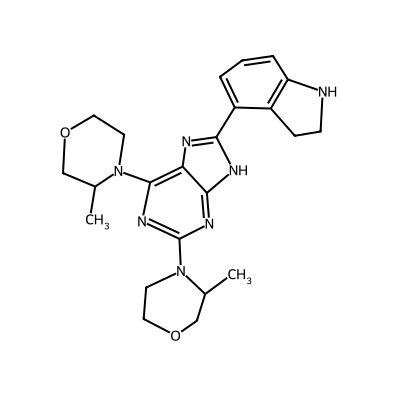 CC1COCCN1c1nc(N2CCOCC2C)c2nc(-c3cccc4c3CCN4)[nH]c2n1